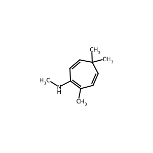 CNC1=C(C)C=CC(C)(C)C=C1